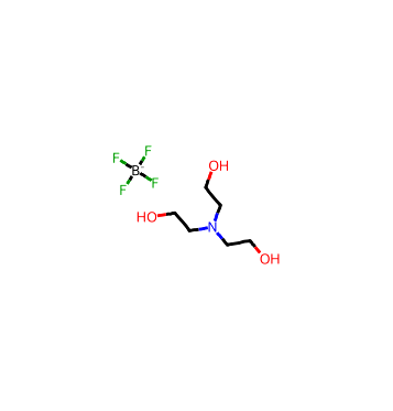 F[B-](F)(F)F.OCCN(CCO)CCO